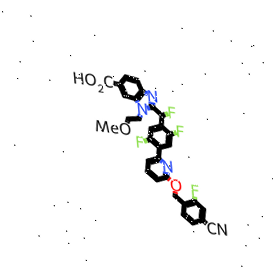 COCCn1c(C(F)c2cc(F)c(-c3cccc(OCc4ccc(C#N)cc4F)n3)cc2F)nc2ccc(C(=O)O)cc21